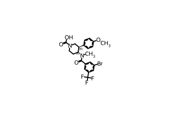 COc1ccc([C@@H]2CN(C(=O)O)CC[C@H]2N(C)C(=O)c2cc(Br)cc(C(F)(F)F)c2)cc1